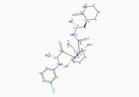 C[C@@H](Nc1cncc(Cl)c1)C(=O)N1[C@@H]2CC[C@H]([C@@H]1C(=O)N[C@H](C#N)C[C@@H]1CCCNC1=O)C(F)(F)C2